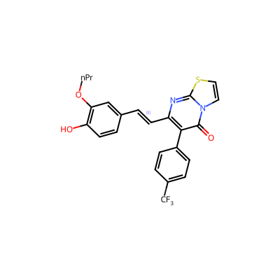 CCCOc1cc(/C=C/c2nc3sccn3c(=O)c2-c2ccc(C(F)(F)F)cc2)ccc1O